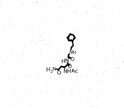 CC(=O)N[C@@H](CC(N)=O)C(=O)NC(=O)CNCCc1ccccc1